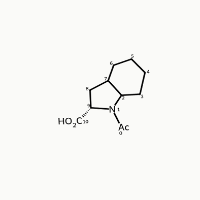 CC(=O)N1C2CCCCC2C[C@H]1C(=O)O